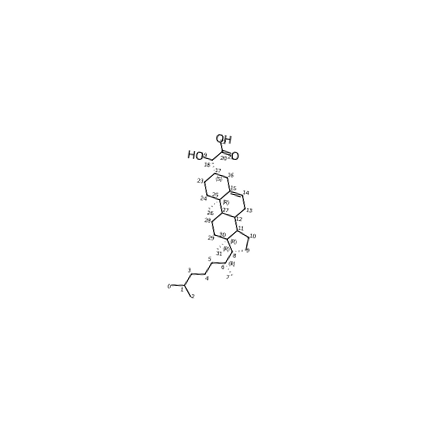 CC(C)CCC[C@@H](C)[C@H]1CCC2C3CC=C4C[C@@H](C(O)C(=O)O)CC[C@]4(C)C3CC[C@@]21C